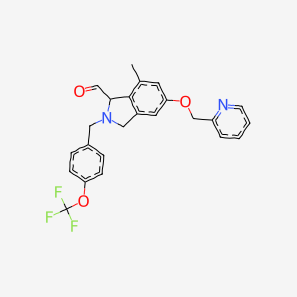 Cc1cc(OCc2ccccn2)cc2c1C(C=O)N(Cc1ccc(OC(F)(F)F)cc1)C2